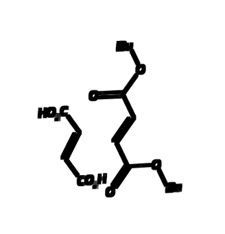 CCC(C)OC(=O)C=CC(=O)OC(C)CC.O=C(O)C=CC(=O)O